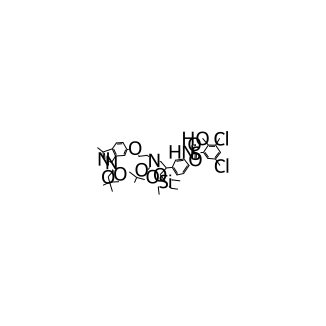 CC[Si](CC)(CC)OC(CN(CCOc1ccc2c(C)nn(C(=O)OC(C)(C)C)c2c1)C(=O)OC(C)(C)C)c1cccc(NS(=O)(=O)c2cc(Cl)cc(Cl)c2O)c1